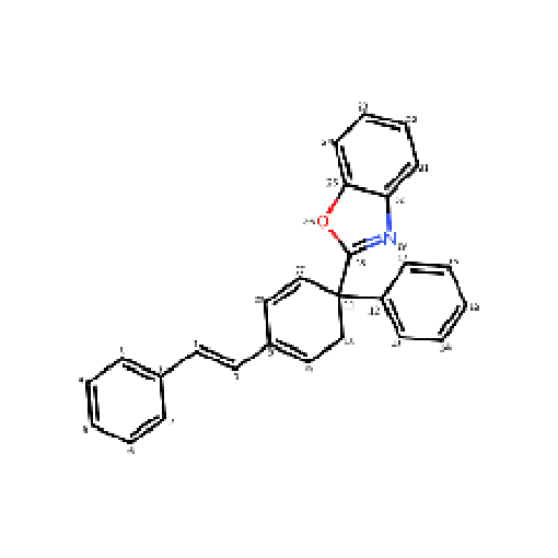 C(=Cc1ccccc1)C1=CCC(c2ccccc2)(c2nc3ccccc3o2)C=C1